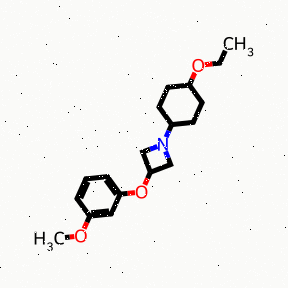 CCOC1CCC(N2CC(Oc3cccc(OC)c3)C2)CC1